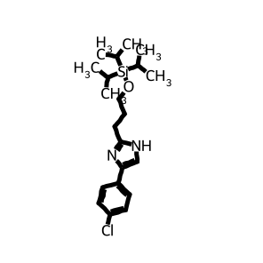 CC(C)[Si](OCCCc1nc(-c2ccc(Cl)cc2)c[nH]1)(C(C)C)C(C)C